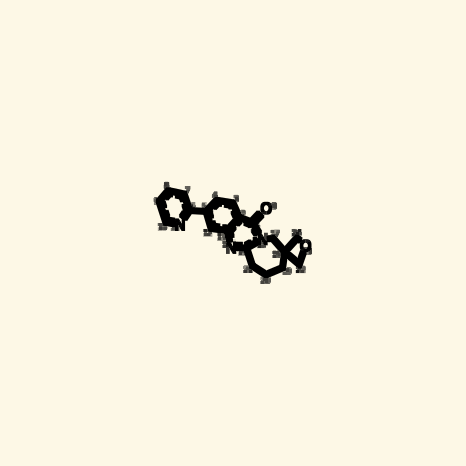 O=c1c2ccc(-c3ccccn3)cc2nc2n1CC1(CCC2)COC1